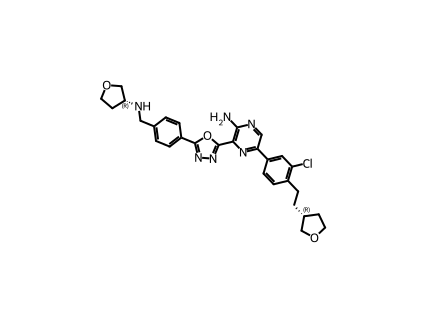 Nc1ncc(-c2ccc(CC[C@@H]3CCOC3)c(Cl)c2)nc1-c1nnc(-c2ccc(CN[C@@H]3CCOC3)cc2)o1